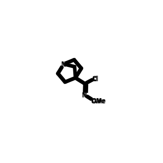 CON=C(Cl)C12CCN(CC1)C2